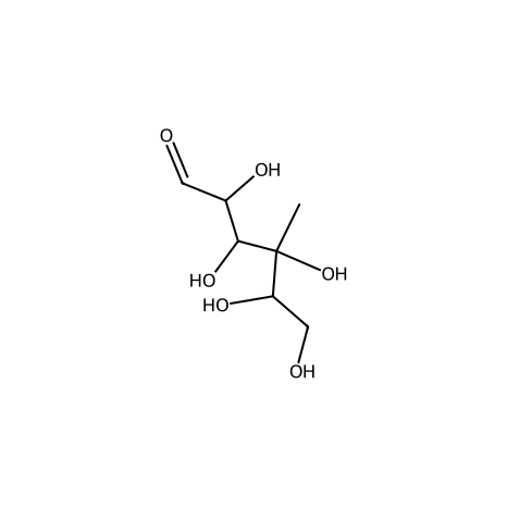 CC(O)(C(O)CO)C(O)C(O)C=O